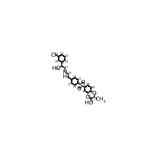 C[C@@H](Oc1ccc(S(=O)(=O)c2ccc(CCNC[C@@H](O)c3cccc(Cl)c3)cc2)cc1)C(=O)O